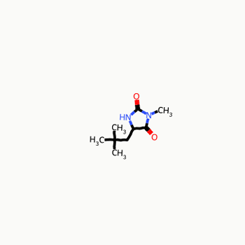 CN1C(=O)NC(CC(C)(C)C)C1=O